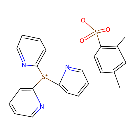 Cc1ccc(S(=O)(=O)[O-])c(C)c1.c1ccc([S+](c2ccccn2)c2ccccn2)nc1